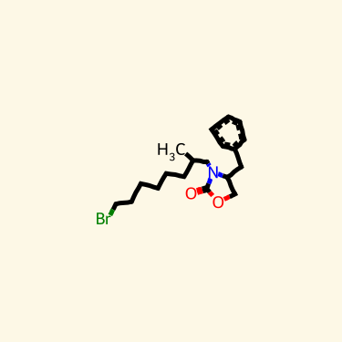 CC(CCCCCCBr)CN1C(=O)OCC1Cc1ccccc1